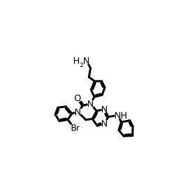 NCCc1cccc(N2C(=O)N(c3ccccc3Br)Cc3cnc(Nc4ccccc4)nc32)c1